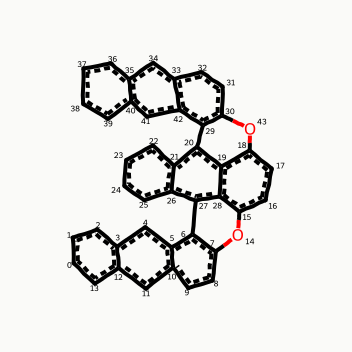 c1ccc2cc3c4c(ccc3cc2c1)Oc1ccc2c3c(c5ccccc5c-4c13)-c1c(ccc3cc4ccccc4cc13)O2